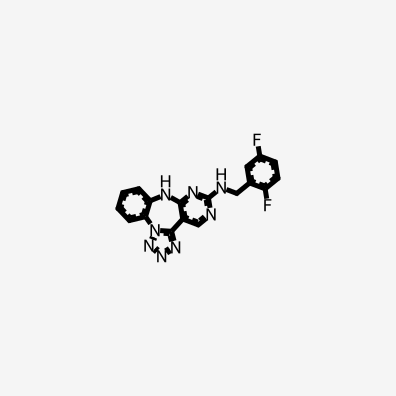 Fc1ccc(F)c(CNc2ncc3c(n2)Nc2ccccc2-n2nnnc2-3)c1